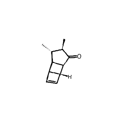 C[C@H]1C(=O)C2C(C3C=C[C@H]32)[C@@H]1C